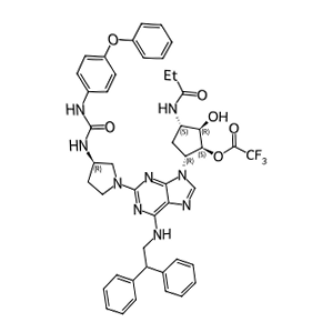 CCC(=O)N[C@H]1C[C@@H](n2cnc3c(NCC(c4ccccc4)c4ccccc4)nc(N4CC[C@@H](NC(=O)Nc5ccc(Oc6ccccc6)cc5)C4)nc32)[C@H](OC(=O)C(F)(F)F)[C@@H]1O